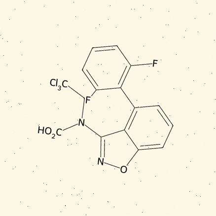 O=C(O)N(CC(Cl)(Cl)Cl)c1noc2cccc(-c3c(F)cccc3F)c12